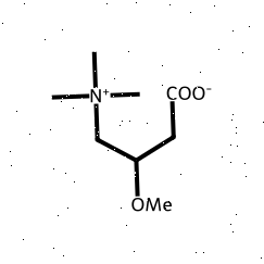 COC(CC(=O)[O-])C[N+](C)(C)C